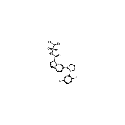 CCN(CC)S(=O)(=O)NC(=O)c1cnn2ccc(N3CCC[C@@H]3c3cc(F)ccc3F)cc12